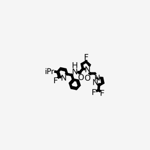 CC(C)c1ccc(C(NC(=O)C2CC(F)CN2C(=O)Cn2ccc(C(F)F)n2)c2ccccc2)nc1F